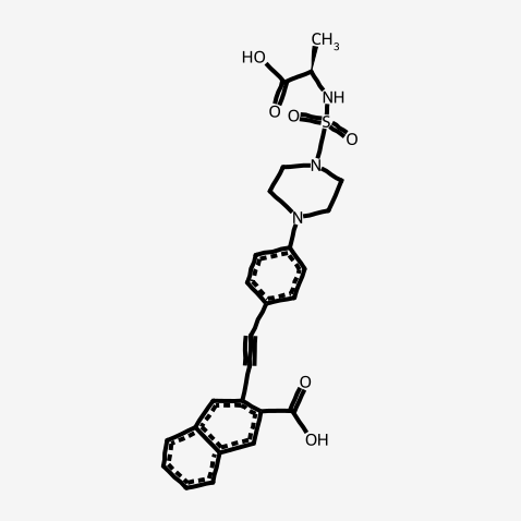 C[C@@H](NS(=O)(=O)N1CCN(c2ccc(C#Cc3cc4ccccc4cc3C(=O)O)cc2)CC1)C(=O)O